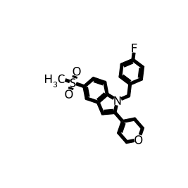 CS(=O)(=O)c1ccc2c(c1)cc(C1=CCOCC1)n2Cc1ccc(F)cc1